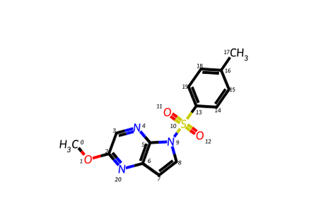 COc1cnc2c(ccn2S(=O)(=O)c2ccc(C)cc2)n1